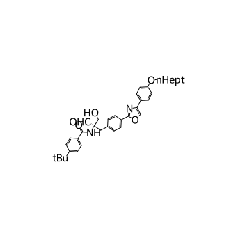 CCCCCCCOc1ccc(-c2coc(-c3ccc(C[C@](C=O)(CO)NC(=O)c4ccc(C(C)(C)C)cc4)cc3)n2)cc1